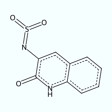 O=c1[nH]c2ccccc2cc1N=S(=O)=O